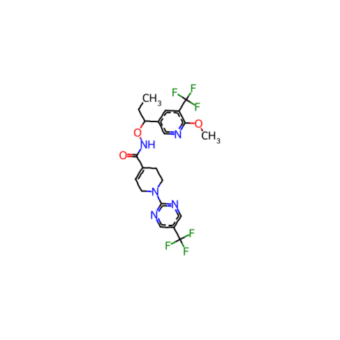 CCC(ONC(=O)C1=CCN(c2ncc(C(F)(F)F)cn2)CC1)c1cnc(OC)c(C(F)(F)F)c1